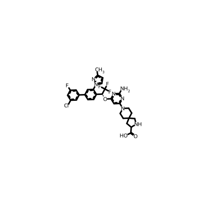 Cc1ccn(-c2cc(-c3cc(F)cc(Cl)c3)ccc2[C@@H](Oc2cc(N3CCC4(CC3)CNC(C(=O)O)C4)nc(N)n2)C(F)(F)F)n1